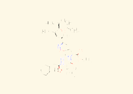 C=C(/C=C(/C)C(OC(C)C)=C(C)C)C1=NO[C@]2(C1)C[C@@H](C(=O)OC)N(C(=O)[C@@H](NC(=O)CC1CCCCC1)C(C)(C)C)C2